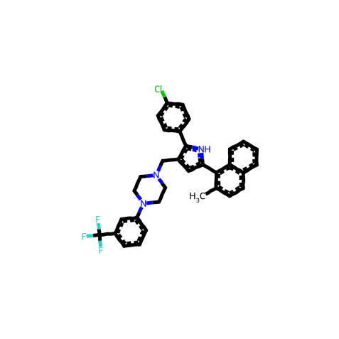 Cc1ccc2ccccc2c1-c1cc(CN2CCN(c3cccc(C(F)(F)F)c3)CC2)c(-c2ccc(Cl)cc2)[nH]1